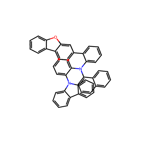 c1ccc(N(c2ccccc2-n2c3ccccc3c3ccccc32)c2cccc3ccccc23)c(-c2ccc3c(c2)oc2ccccc23)c1